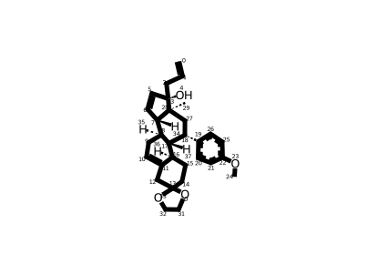 C=CC[C@]1(O)C=C[C@H]2[C@@H]3CC=C4CC5(CC[C@@H]4[C@H]3[C@@H](c3ccc(OC)cc3)C[C@@]21C)OCCO5